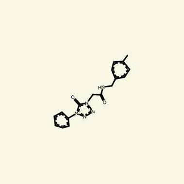 Cc1ccc(CNC(=O)Cn2nnn(-c3ccccc3)c2=O)cc1